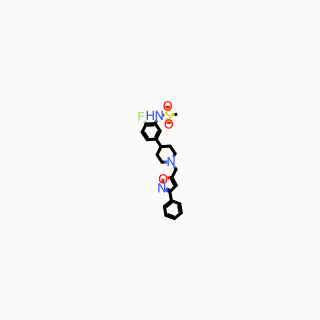 CS(=O)(=O)Nc1cc(C2CCN(Cc3cc(-c4ccccc4)no3)CC2)ccc1F